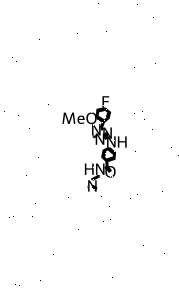 COc1cc(F)ccc1-c1ncnc(Nc2ccc(C(=O)NCCN(C)C)cc2)n1